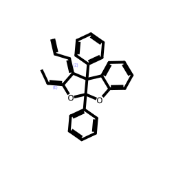 C=C/C=C1\C(=C/C)OC2(c3ccccc3)Oc3ccccc3C12c1ccccc1